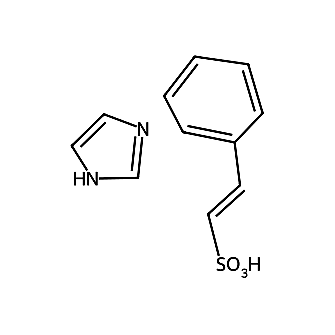 O=S(=O)(O)C=Cc1ccccc1.c1c[nH]cn1